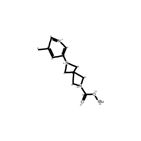 Cc1cncc(N2CC3(CN(C(=O)OC(C)(C)C)C3)C2)c1